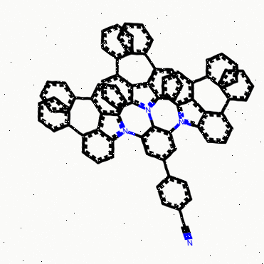 N#Cc1ccc(-c2cc(-n3c4cccc(-c5ccccc5)c4c4c(-c5ccccc5)cccc43)c(-n3c4cccc(-c5ccccc5)c4c4c(-c5ccccc5)cccc43)c(-n3c4cccc(-c5ccccc5)c4c4c(-c5ccccc5)cccc43)c2)cc1